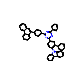 c1ccc(-c2nc(-c3ccc(-c4cc5ccccc5c5ccccc45)cc3)nc(-c3ccc(-n4c5ccccc5c5ccccc54)c(-c4ccccc4)c3)n2)cc1